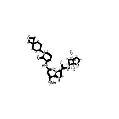 CNc1cc(Nc2cccn(C3CCC4(CC3)COC4)c2=O)nn2c(C(=O)N[C@@H]3C[C@H]4CCO[C@H]43)cnc12